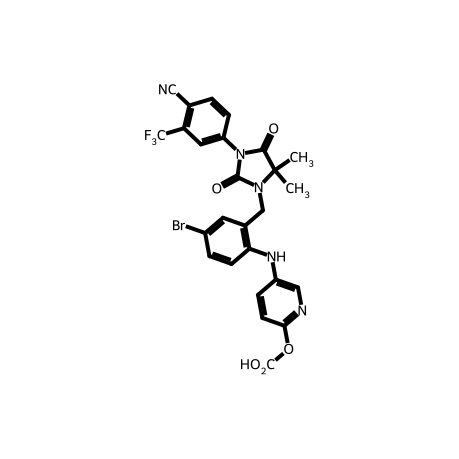 CC1(C)C(=O)N(c2ccc(C#N)c(C(F)(F)F)c2)C(=O)N1Cc1cc(Br)ccc1Nc1ccc(OC(=O)O)nc1